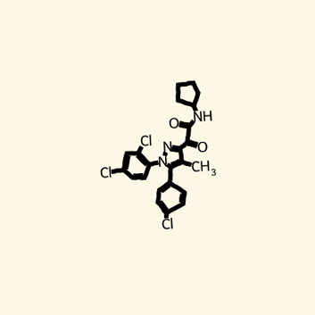 Cc1c(C(=O)C(=O)NC2CCCC2)nn(-c2ccc(Cl)cc2Cl)c1-c1ccc(Cl)cc1